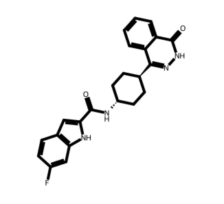 O=C(N[C@H]1CC[C@H](c2n[nH]c(=O)c3ccccc32)CC1)c1cc2ccc(F)cc2[nH]1